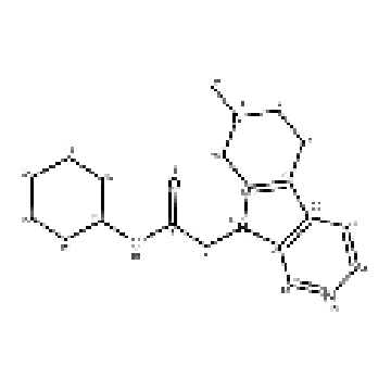 CN1CCc2c(n(CC(=O)OC3CCCCC3)c3cnccc23)C1